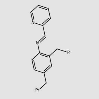 CC(C)Cc1ccc(N=Cc2ccccn2)c(CC(C)C)c1